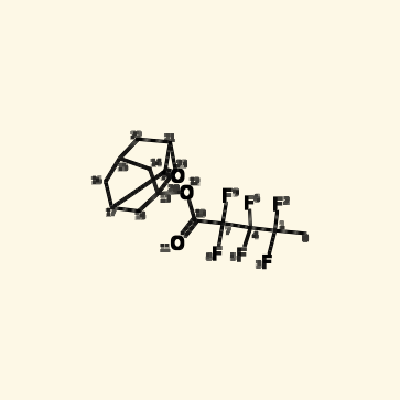 CC(F)(F)C(F)(F)C(F)(F)C(=O)OC12CC3CC(C1)C(=O)C(C3)C2